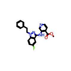 COC(=O)c1ccncc1Nc1nn(CCc2ccccc2)c2ccc(F)cc12